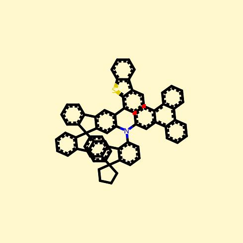 c1ccc2c(c1)-c1c(N(c3ccc4c5ccccc5c5ccccc5c4c3)c3cc4c(cc3-c3cccc5c3sc3ccccc35)-c3ccccc3C43c4ccccc4-c4ccccc43)cccc1C21CCCC1